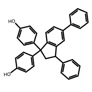 Oc1ccc(C2(c3ccc(O)cc3)CC(c3ccccc3)c3cc(-c4ccccc4)ccc32)cc1